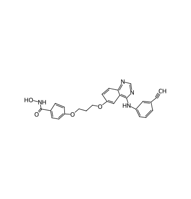 C#Cc1cccc(Nc2ncnc3ccc(OCCCOc4ccc(C(=O)NO)cc4)cc23)c1